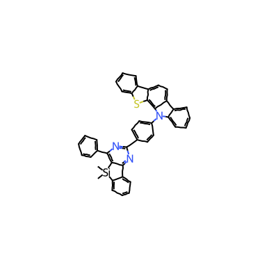 C[Si]1(C)c2ccccc2-c2nc(-c3ccc(-n4c5ccccc5c5ccc6c7ccccc7sc6c54)cc3)nc(-c3ccccc3)c21